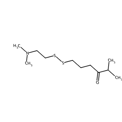 CC(C)C(=O)CCCSSCCN(C)C